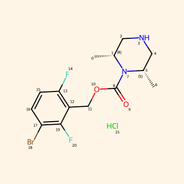 C[C@@H]1CNC[C@H](C)N1C(=O)OCc1c(F)ccc(Br)c1F.Cl